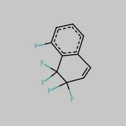 Fc1cccc2c1C(F)(F)C(F)(F)C=C2